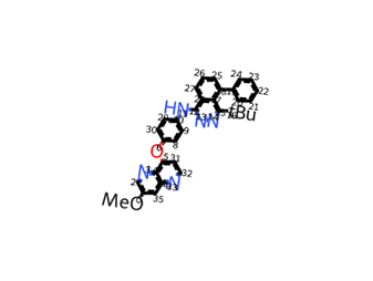 COc1cnc2c(Oc3ccc(Nc4nnc(C(C)(C)C)c5c(-c6ccccc6)cccc45)cc3)ccnc2c1